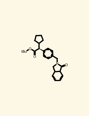 CC(C)(C)OC(=O)[C@H](c1ccc(CN2CC3C=CC=CC3C2=O)cc1)C1CCCC1